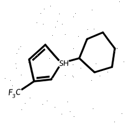 FC(F)(F)C1=C[SH](C2CC[CH]CC2)C=C1